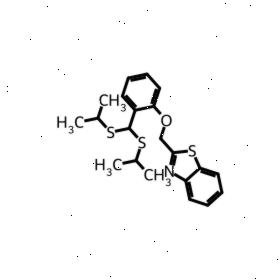 CC(C)SC(SC(C)C)c1ccccc1OCc1nc2ccccc2s1